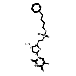 O=c1[nH]c(=O)n([C@H]2C[C@H](O)[C@@H](COP(=O)(O)OCCCCc3ccccc3)O2)cc1F